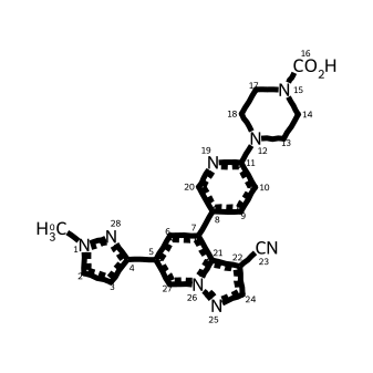 Cn1ccc(-c2cc(-c3ccc(N4CCN(C(=O)O)CC4)nc3)c3c(C#N)cnn3c2)n1